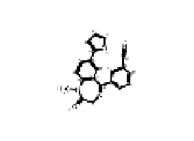 CN1C(=O)CN=C(c2cccc(C#N)c2)c2cc(-c3ccco3)ccc21